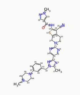 Cc1nc(-c2cnc(N3CCc4c(sc(NC(=O)c5cnn(C)c5)c4C#N)C3)nc2)nn1Cc1cccc(N2CCN(C)CC2)c1